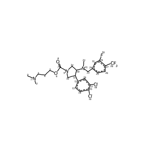 CN(C)CCCOC(=O)N1CC(c2ccc(Cl)c(Cl)c2)C(N(C)Cc2ccc(C(F)(F)F)c(F)c2)C1